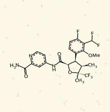 COc1c([C@H]2[C@@H](C)[C@](C)(C(F)(F)F)O[C@H]2C(=O)Nc2ccnc(C(N)=O)c2)ccc(F)c1C(F)F